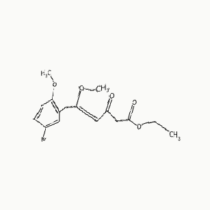 CCOC(=O)CC(=O)C=C(OC)c1cc(Br)ccc1OC